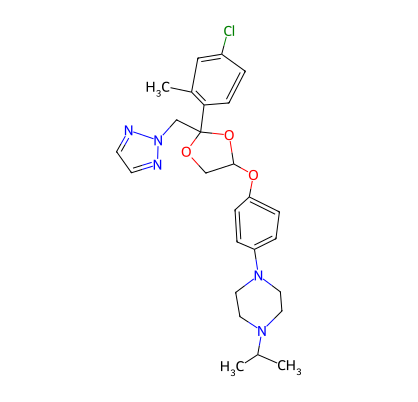 Cc1cc(Cl)ccc1C1(Cn2nccn2)OCC(Oc2ccc(N3CCN(C(C)C)CC3)cc2)O1